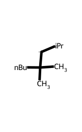 CCCCC(C)(C)[CH]C(C)C